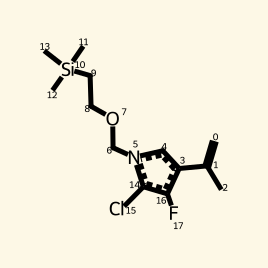 C=C(C)c1cn(COCC[Si](C)(C)C)c(Cl)c1F